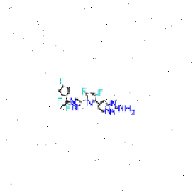 CC(F)(F)[C@@H](c1ccc(F)cc1)n1cc(-c2nc(-c3ccn4nc(N)nc4c3)c(F)cc2F)cn1